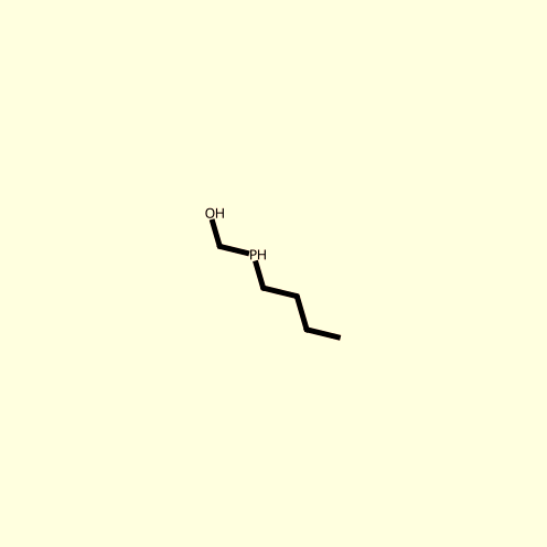 CCCCPCO